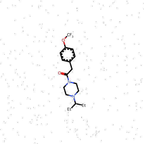 CCC(CC)N1CCN(C(=O)Cc2ccc(OC(F)(F)F)cc2)CC1